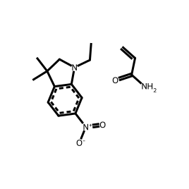 C=CC(N)=O.CCN1CC(C)(C)c2ccc([N+](=O)[O-])cc21